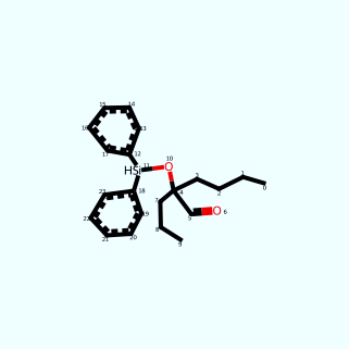 CCCCC(C=O)(CCC)O[SiH](c1ccccc1)c1ccccc1